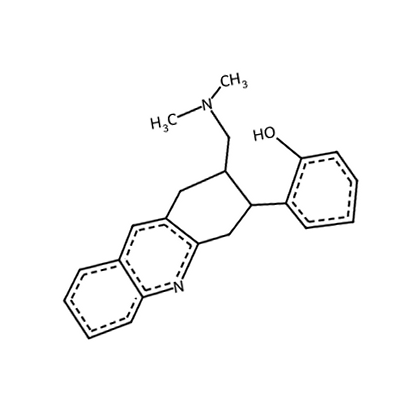 CN(C)CC1Cc2cc3ccccc3nc2CC1c1ccccc1O